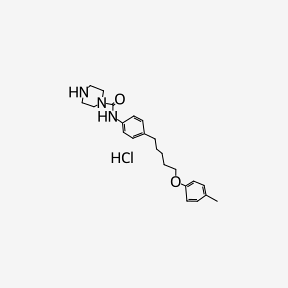 Cc1ccc(OCCCCCc2ccc(NC(=O)N3CCNCC3)cc2)cc1.Cl